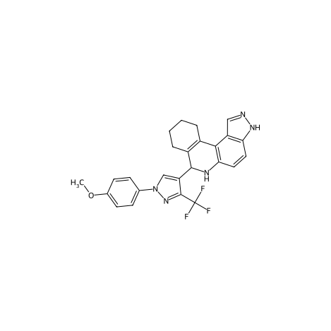 COc1ccc(-n2cc(C3Nc4ccc5[nH]ncc5c4C4=C3CCCC4)c(C(F)(F)F)n2)cc1